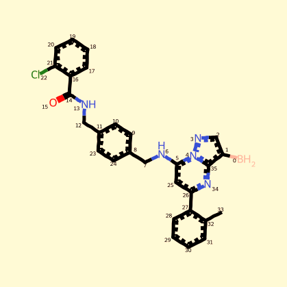 Bc1cnn2c(NCc3ccc(CNC(=O)c4ccccc4Cl)cc3)cc(-c3ccccc3C)nc12